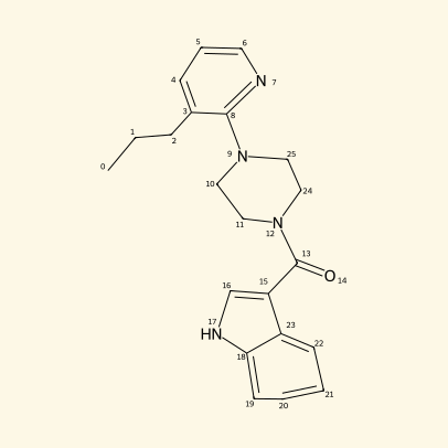 CCCc1cccnc1N1CCN(C(=O)c2c[nH]c3ccccc23)CC1